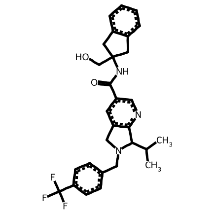 CC(C)C1c2ncc(C(=O)NC3(CO)Cc4ccccc4C3)cc2CN1Cc1ccc(C(F)(F)F)cc1